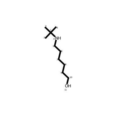 CC(C)(C)NCCCCCCO